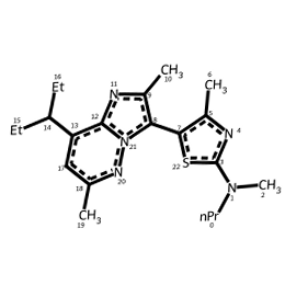 CCCN(C)c1nc(C)c(-c2c(C)nc3c(C(CC)CC)cc(C)nn23)s1